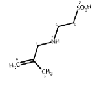 C=C(C)CNCCS(=O)(=O)O